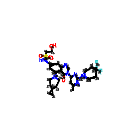 Cc1cc(-n2cnc3cc(NS(=O)(=O)CCO)cc(N4CCC5(CC4)CC5)c3c2=O)nc(N2CCC(F)(F)CC2)n1